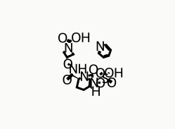 O=C(NOC1CN(C(=O)O)C1)[C@@H]1CC[C@@H]2CN1C(=O)N2OS(=O)(=O)O.c1ccncc1